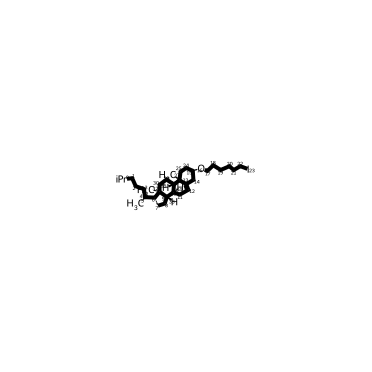 CC(C)CCC[C@@H](C)[C@H]1CC[C@H]2[C@@H]3CC=C4C[C@@H](OCCCCCCI)CC[C@]4(C)[C@H]3CC[C@]12C